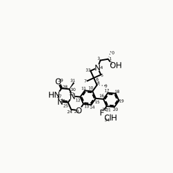 C[C@H](O)CN1CC(C)([C@H](C)c2cc3c(cc2-c2ccccc2F)OCC2=NNC(=O)[C@@H](C)N23)C1.Cl